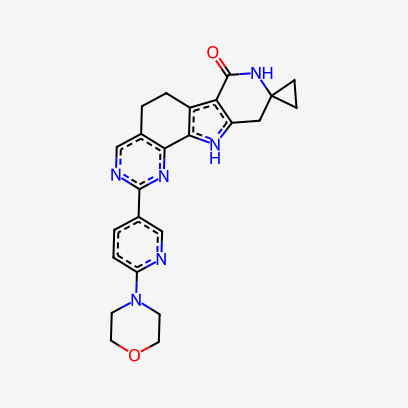 O=C1NC2(CC2)Cc2[nH]c3c(c21)CCc1cnc(-c2ccc(N4CCOCC4)nc2)nc1-3